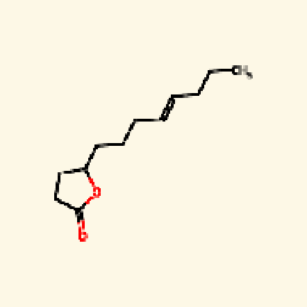 CCCC=CCCCC1CCC(=O)O1